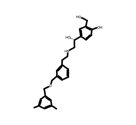 Cc1cc(C)cc(COCc2cccc(CCNC[C@H](O)c3ccc(O)c(CO)c3)c2)c1